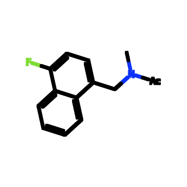 CC(=O)N(C)Cc1ccc(F)c2ccccc12